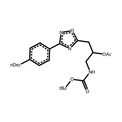 CCCCCCCCCCc1ccc(-c2noc(CC(CNC(=O)OC(C)(C)C)OC(C)=O)n2)cc1